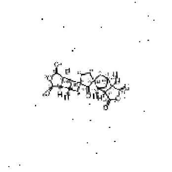 O=C1OC(=O)[C@H]2C3[C@H](C[C@]34CC[C@]3(C[C@@H]5C[C@H]3[C@H]3C(=O)OC(=O)[C@@H]53)C4=O)[C@@H]12